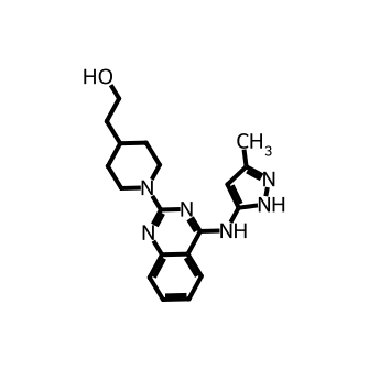 Cc1cc(Nc2nc(N3CCC(CCO)CC3)nc3ccccc23)[nH]n1